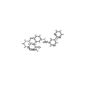 NC(=O)N(c1cc(CNc2cncc(-c3ncccn3)c2)ccc1F)[C@@H]1CCCC[C@@H]1O